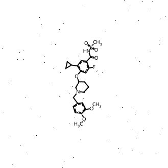 COc1ccc(CN2CCCC(Oc3cc(F)c(C(=O)NS(C)(=O)=O)cc3C3CC3)C2)cc1OC